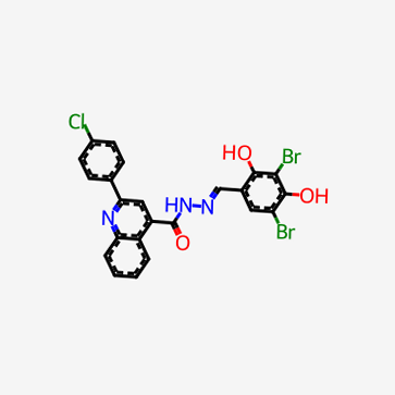 O=C(NN=Cc1cc(Br)c(O)c(Br)c1O)c1cc(-c2ccc(Cl)cc2)nc2ccccc12